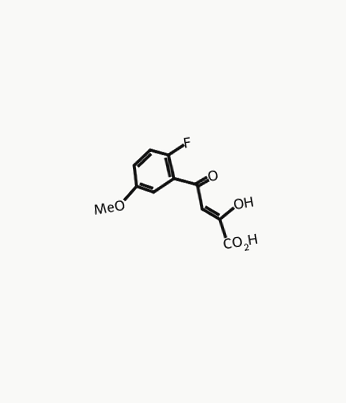 COc1ccc(F)c(C(=O)C=C(O)C(=O)O)c1